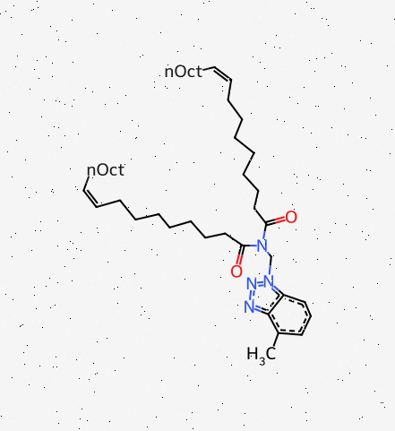 CCCCCCCC/C=C\CCCCCCCC(=O)N(Cn1nnc2c(C)cccc21)C(=O)CCCCCCC/C=C\CCCCCCCC